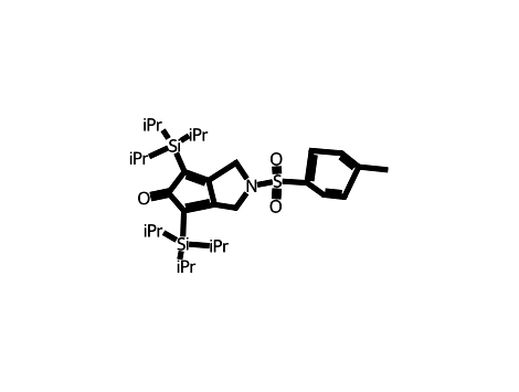 Cc1ccc(S(=O)(=O)N2CC3=C([Si](C(C)C)(C(C)C)C(C)C)C(=O)C([Si](C(C)C)(C(C)C)C(C)C)=C3C2)cc1